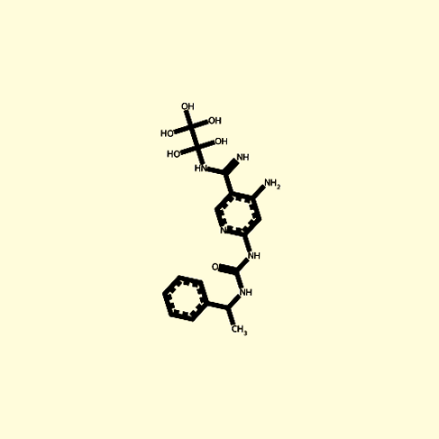 CC(NC(=O)Nc1cc(N)c(C(=N)NC(O)(O)C(O)(O)O)cn1)c1ccccc1